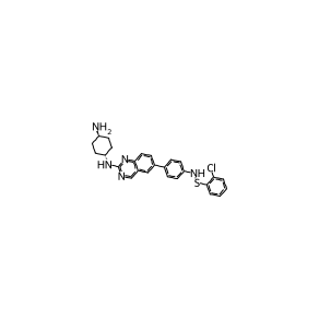 N[C@H]1CC[C@H](Nc2ncc3cc(-c4ccc(NSc5ccccc5Cl)cc4)ccc3n2)CC1